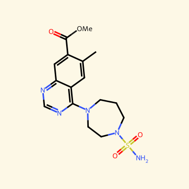 COC(=O)c1cc2ncnc(N3CCCN(S(N)(=O)=O)CC3)c2cc1C